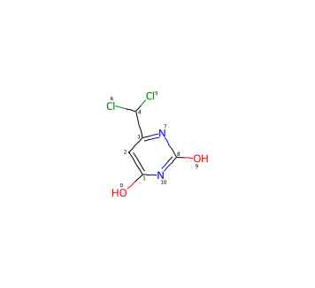 Oc1cc(C(Cl)Cl)nc(O)n1